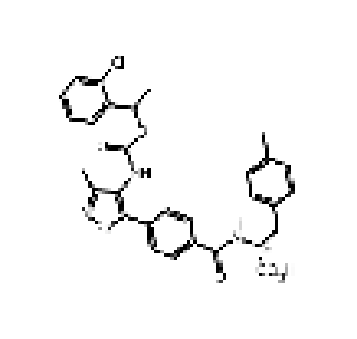 Cc1ccc(C[C@@H](NC(=O)c2ccc(-c3onc(C)c3NC(=O)OC(C)c3ccccc3Cl)cc2)C(=O)O)cc1